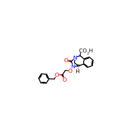 O=C(CON1C(=O)N2C[C@H]1c1ccccc1C2C(=O)O)OCc1ccccc1